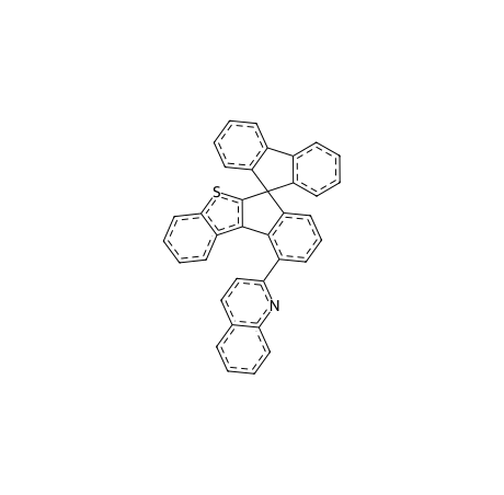 c1ccc2c(c1)-c1ccccc1C21c2cccc(-c3ccc4ccccc4n3)c2-c2c1sc1ccccc21